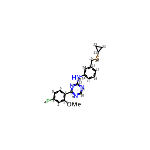 COc1cc(F)ccc1-c1ncnc(Nc2cccc(CSC3CC3)c2)n1